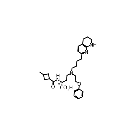 CC1CC(C(=O)N[C@@H](CCN(CCCCc2ccc3c(n2)NCCC3)CCOc2ccccc2)C(=O)O)C1